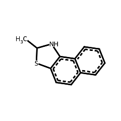 CC1Nc2c(ccc3ccccc23)S1